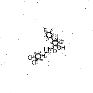 Cc1cc(-c2cc(C(=O)NCCCc3ccc(Cl)c(Cl)c3)c(O)c(=O)n2C)ccc1F